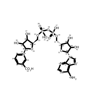 Nc1ncnc2c1ncn2[C@@H]1O[C@H](COP(=O)(O)OP(=O)(O)OC[C@H]2O[C@@H]([n+]3cccc(C(=O)O)c3)C(O)C2O)C(O)C1O